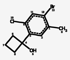 Cc1cc(C2(O)CCC2)c(Cl)cc1Br